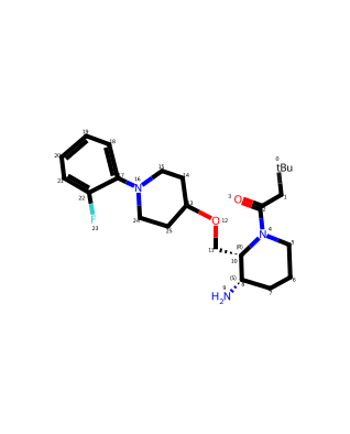 CC(C)(C)CC(=O)N1CCC[C@H](N)[C@@H]1COC1CCN(c2ccccc2F)CC1